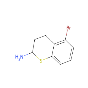 NC1CCc2c(Br)cccc2S1